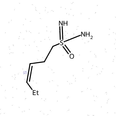 CC/C=C\CCS(=N)(N)=O